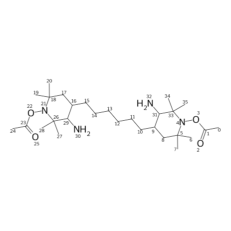 CC(=O)ON1C(C)(C)CC(CCCCCCC2CC(C)(C)N(OC(C)=O)C(C)(C)C2N)C(N)C1(C)C